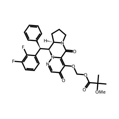 COC(C)(C)C(=O)OCOc1c2n(ncc1=O)[C@@H]([C@H](c1ccccc1)c1cccc(F)c1F)[C@H]1CCCN1C2=O